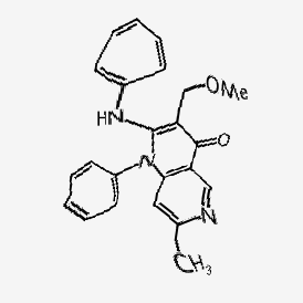 COCc1c(Nc2ccccc2)n(-c2ccccc2)c2cc(C)ncc2c1=O